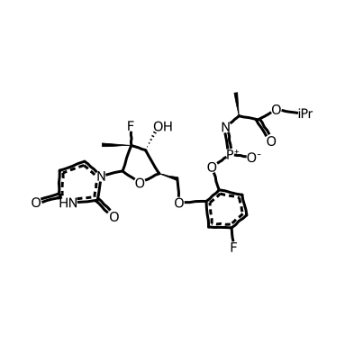 CC(C)OC(=O)[C@H](C)/N=[P+](\[O-])Oc1ccc(F)cc1OC[C@H]1OC(n2ccc(=O)[nH]c2=O)[C@](C)(F)[C@@H]1O